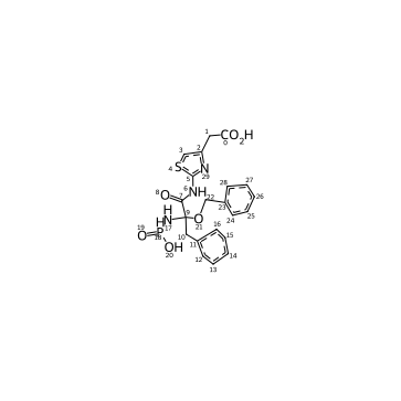 O=C(O)Cc1csc(NC(=O)C(Cc2ccccc2)(N[PH](=O)O)OCc2ccccc2)n1